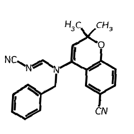 CC1(C)C=C(N(C=NC#N)Cc2ccccc2)c2cc(C#N)ccc2O1